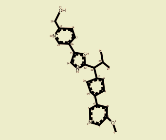 COc1cncc(-c2ccc(C(c3ncc(-c4ccc(CO)nc4)s3)C(C)C)cc2)c1